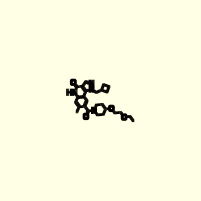 CCOCCOC1CCN(C(=O)c2cc3c(cc2C)[nH]c(=O)c2cnn(CC4CCC4)c23)CC1